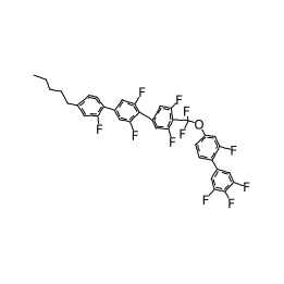 CCCCCc1ccc(-c2cc(F)c(-c3cc(F)c(C(F)(F)Oc4ccc(-c5cc(F)c(F)c(F)c5)c(F)c4)c(F)c3)c(F)c2)c(F)c1